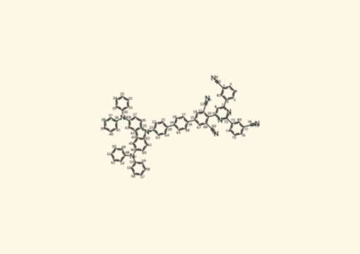 N#Cc1cccc(-c2cc(-c3c(C#N)cc(-c4ccc(-c5ccc(-n6c7ccc(N(c8ccccc8)c8ccccc8)cc7c7cc(N(c8ccccc8)c8ccccc8)ccc76)cc5)cc4)cc3C#N)nc(-c3cccc(C#N)c3)n2)c1